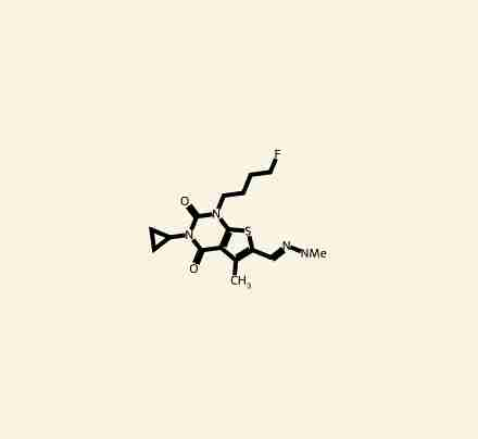 CN/N=C/c1sc2c(c1C)c(=O)n(C1CC1)c(=O)n2CCCCF